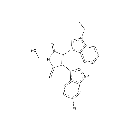 CCn1cc(C2=C(c3c[nH]c4cc(Br)ccc34)C(=O)N(CO)C2=O)c2ccccc21